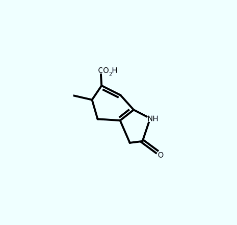 CC1CC2=C(C=C1C(=O)O)NC(=O)C2